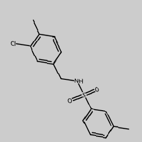 Cc1cccc(S(=O)(=O)NCc2ccc(C)c(Cl)c2)c1